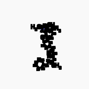 C=NC1=C(/C=C(/C)CC)C(=O)N(c2cccc(Cn3cc(CN(C)CCC4=CCC=CC=C4)nn3)c2)CCN1C